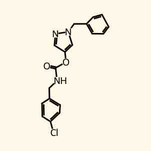 O=C(NCc1ccc(Cl)cc1)Oc1cnn(Cc2ccccc2)c1